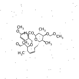 COCO[C@H]1[C@@H](C)[C@H](CC/C=C\[C@H](C)[C@H](OCc2ccc(OC)cc2)[C@@H](C)C=O)O[C@@H](OC)[C@@H]1C